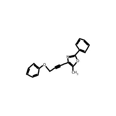 Cc1oc(-c2ccccc2)nc1C#CCOc1ccccc1